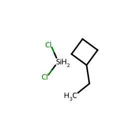 CCC1CCC1.Cl[SiH2]Cl